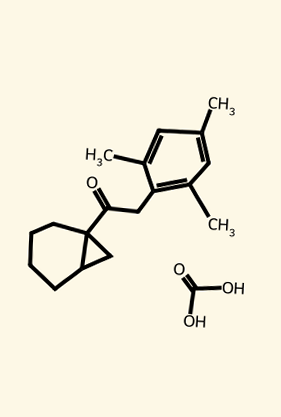 Cc1cc(C)c(CC(=O)C23CCCCC2C3)c(C)c1.O=C(O)O